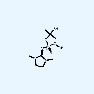 CN1CCN(C)C1=N[P@](=S)(OC(C)(C)C)OC(C)(C)S